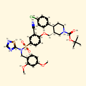 COc1ccc(CN(c2ncns2)S(=O)(=O)c2ccc(OC[C@H]3CN(C(=O)OC(C)(C)C)CC[C@@H]3c3ccc(Cl)cc3)c(C#N)c2)c(OC)c1